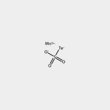 O=S(=O)([O-])[Te-].[Mn+2]